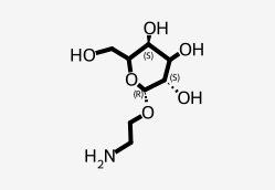 NCCO[C@@H]1OC(CO)[C@@H](O)C(O)[C@@H]1O